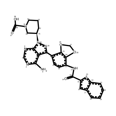 Nc1ncnc2c1c(-c1ccc(NC(=O)c3cc4ccccc4s3)c3c1OCO3)nn2[C@@H]1CCCN(C(=O)O)C1